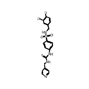 O=S(=O)(NCc1ccc(Cl)c(Cl)c1)c1ccc(NC(=S)NCc2ccncc2)cc1